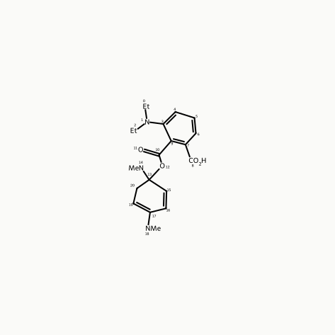 CCN(CC)c1cccc(C(=O)O)c1C(=O)OC1(NC)C=CC(NC)=CC1